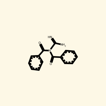 N=C(N)N(C(=O)c1ccccc1)C(=O)c1ccccc1